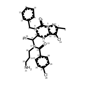 Cc1nn2c(=O)n(Cc3ccccc3)c(C(C(C)C)N(CCCN)C(=O)c3ccc(Cl)cc3)nc2c1Cl